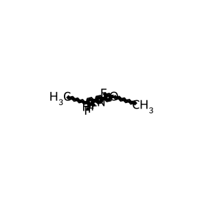 CCCCCCCCCOc1ccc(-c2ccc(-c3ccc(CCCCCCCC)c(C(F)(F)F)c3F)cn2)c(F)c1